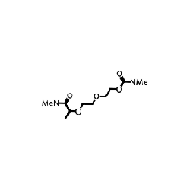 CNC(=O)OCCOCCOC(C)C(=O)NC